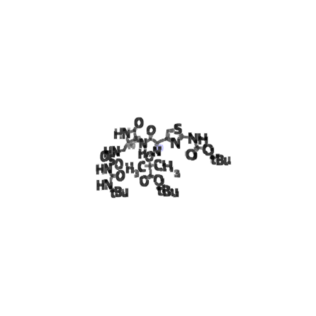 CC(C)(C)NC(=O)NS(=O)(=O)NC[C@H]1NC(=O)[C@H]1NC(=O)/C(=N\OC(C)(C)C(=O)OC(C)(C)C)c1csc(NC(=O)OC(C)(C)C)n1